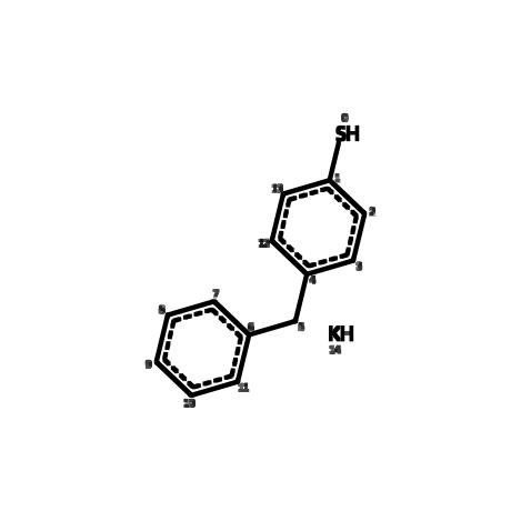 Sc1ccc(Cc2ccccc2)cc1.[KH]